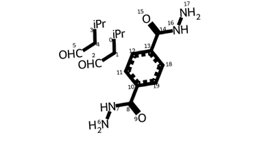 CC(C)CC=O.CC(C)CC=O.NNC(=O)c1ccc(C(=O)NN)cc1